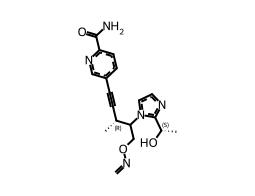 C=NOCC([C@H](C)C#Cc1ccc(C(N)=O)nc1)n1ccnc1[C@H](C)O